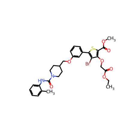 CCOC(=O)COc1c(C(=O)OC)sc(-c2cccc(OCC3CCN(C(=O)Nc4ccccc4C)CC3)c2)c1Br